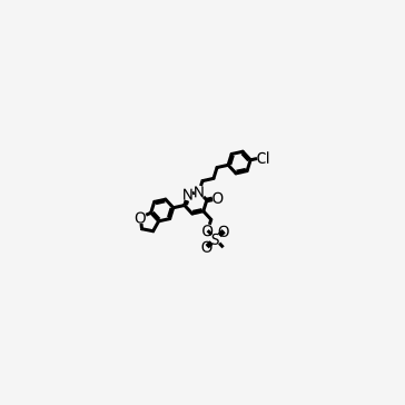 CS(=O)(=O)OCc1cc(-c2ccc3c(c2)CCO3)nn(CCCc2ccc(Cl)cc2)c1=O